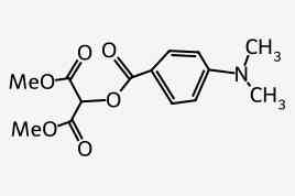 COC(=O)C(OC(=O)c1ccc(N(C)C)cc1)C(=O)OC